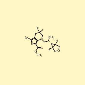 COC(=O)c1sc(Br)c2c1N(CC(N)[C@@H]1[C@@H]3COC[C@@H]31)CC(F)(F)C2